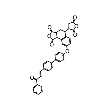 O=C1CC(C2CC3C(=O)OC(=O)C3c3cc(Oc4ccc(-c5ccc(/C=C/C(=O)c6ccccc6)cc5)cc4)ccc32)C(=O)O1